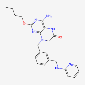 CCCCOc1nc(N)c2c(n1)N(Cc1cccc(CNc3ccccn3)c1)CC(=O)N2